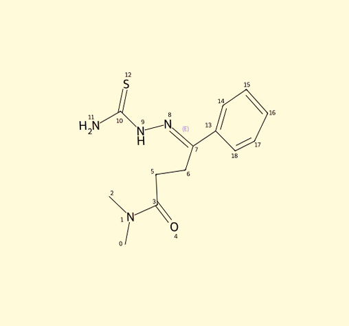 CN(C)C(=O)CC/C(=N\NC(N)=S)c1ccccc1